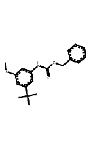 CSc1cc(NC(=O)OCc2ccccc2)cc(C(C)(C)C)c1